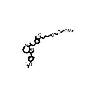 COCCOCCOCCCCC(=O)c1ccc(CC(C)/C2=N/C=C\CCC3C(c4ccc(OC(C)F)cc4)=CN=C23)cc1C